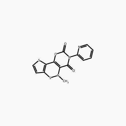 CN1Sc2ccsc2-c2oc(=O)n(-c3ccccn3)c(=O)c21